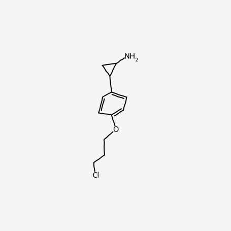 NC1CC1c1ccc(OCCCCl)cc1